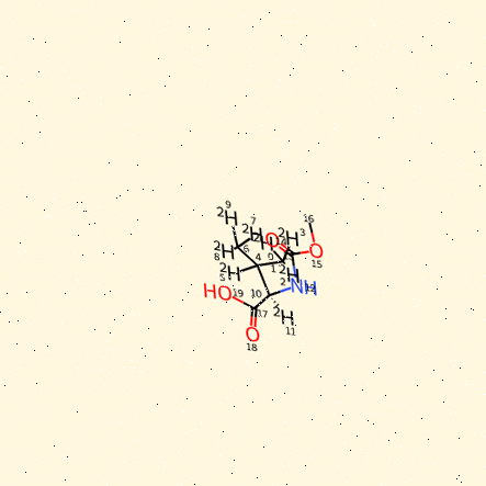 [2H]C([2H])([2H])C([2H])(C([2H])([2H])[2H])[C@@]([2H])(NC(=O)OC)C(=O)O